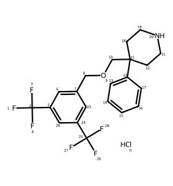 Cl.FC(F)(F)c1cc(COCC2(c3ccccc3)CCNCC2)cc(C(F)(F)F)c1